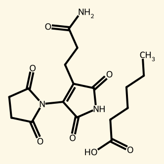 CCCCCC(=O)O.NC(=O)CCC1=C(N2C(=O)CCC2=O)C(=O)NC1=O